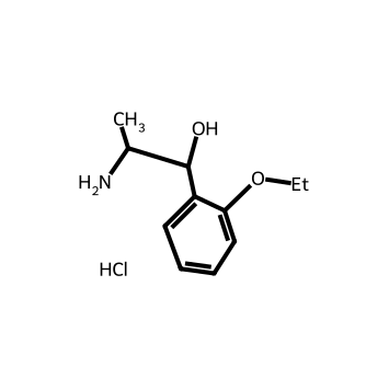 CCOc1ccccc1C(O)C(C)N.Cl